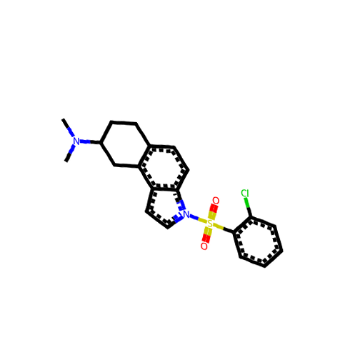 CN(C)C1CCc2ccc3c(ccn3S(=O)(=O)c3ccccc3Cl)c2C1